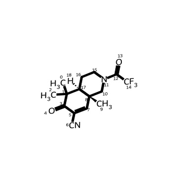 CC1(C)C(=O)C(C#N)=C[C@@]2(C)CN(C(=O)C(F)(F)F)CC[C@H]12